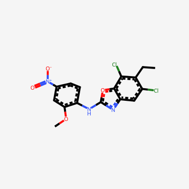 CCc1c(Cl)cc2nc(Nc3ccc([N+](=O)[O-])cc3OC)oc2c1Cl